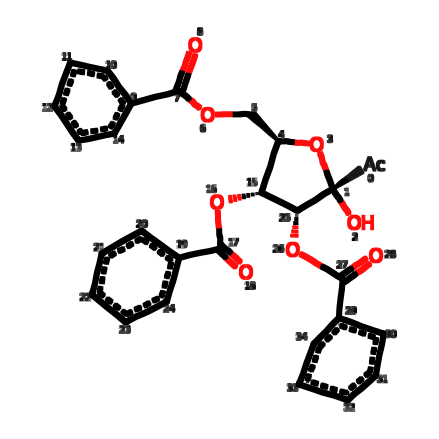 CC(=O)[C@]1(O)O[C@H](COC(=O)c2ccccc2)[C@@H](OC(=O)c2ccccc2)[C@H]1OC(=O)c1ccccc1